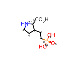 O=C(O)C1NCCC1CCP(=O)(O)O